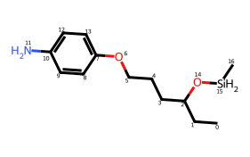 CCC(CCCOc1ccc(N)cc1)O[SiH2]C